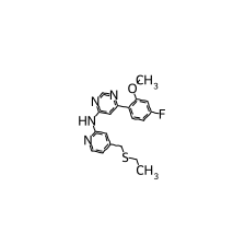 CCSCc1ccnc(Nc2cc(-c3ccc(F)cc3OC)ncn2)c1